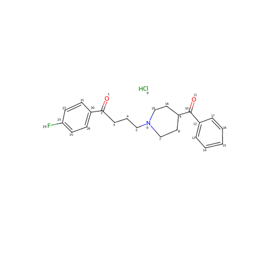 Cl.O=C(CCCN1CCC(C(=O)c2ccccc2)CC1)c1ccc(F)cc1